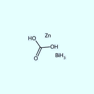 O=C(O)O.[BiH3].[Zn]